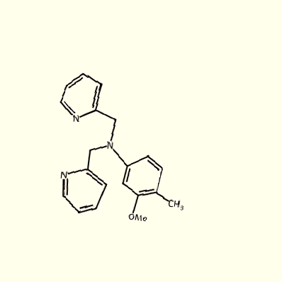 COc1cc(N(Cc2ccccn2)Cc2ccccn2)ccc1C